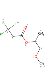 COCC(C)OC(=O)CC(F)(F)F